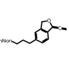 C=C=C1OCc2cc(CCCCCCCCCCCC)ccc21